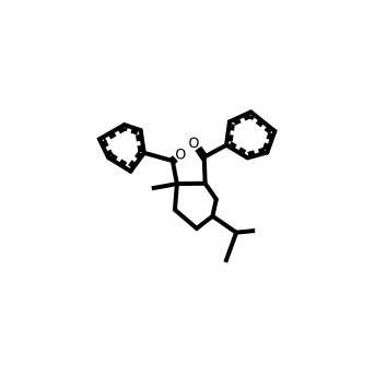 CC(C)C1CCC(C)(C(=O)c2ccccc2)C(C(=O)c2ccccc2)C1